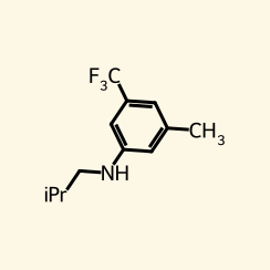 Cc1cc(NCC(C)C)cc(C(F)(F)F)c1